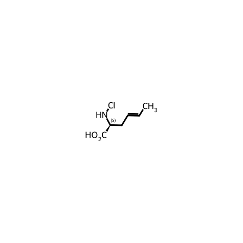 CC=CC[C@H](NCl)C(=O)O